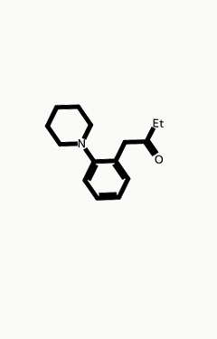 CCC(=O)Cc1ccccc1N1CCCCC1